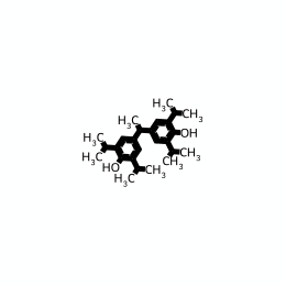 CC(C)c1cc(C(C)c2cc(C(C)C)c(O)c(C(C)C)c2)cc(C(C)C)c1O